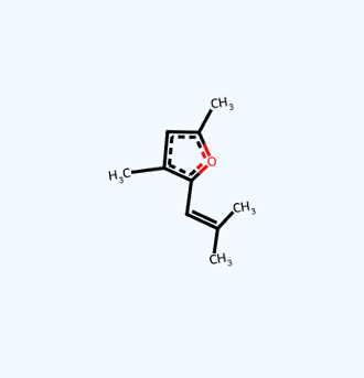 CC(C)=Cc1oc(C)cc1C